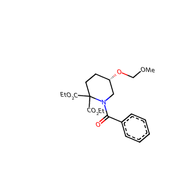 CCOC(=O)C1(C(=O)OCC)CC[C@H](OCOC)CN1C(=O)c1ccccc1